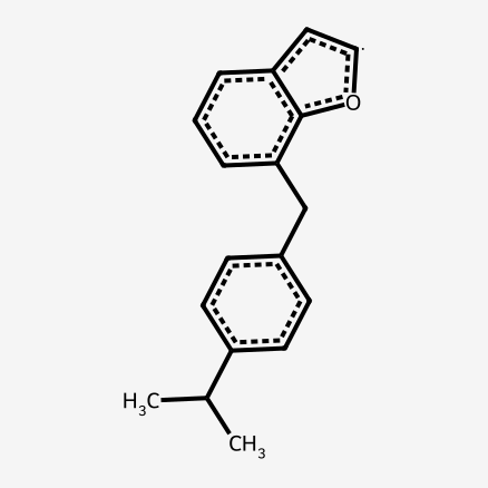 CC(C)c1ccc(Cc2cccc3c[c]oc23)cc1